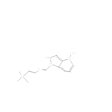 C[Si](C)(C)CCOCN1NC=C2C1=CC=CN2O